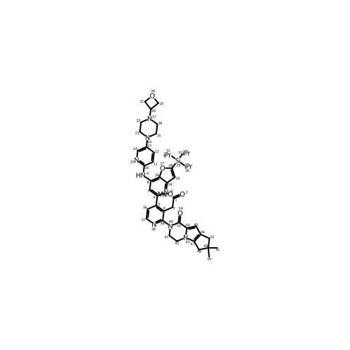 COC(=O)Cc1c(-c2cc(Nc3ccc(N4CCN(C5COC5)CC4)cn3)c3oc([Si](C(C)C)(C(C)C)C(C)C)cc3n2)ccnc1N1CCn2c(cc3c2CC(C)(C)C3)C1=O